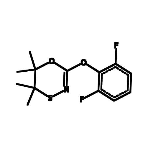 CC1(C)OC(Oc2c(F)cccc2F)=NSC1(C)C